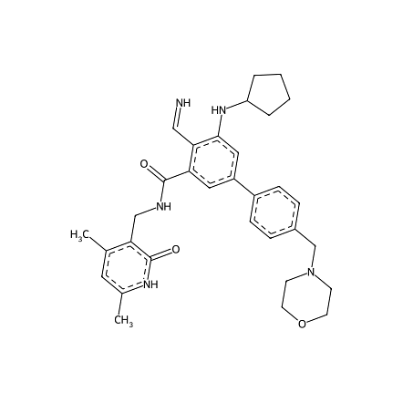 Cc1cc(C)c(CNC(=O)c2cc(-c3ccc(CN4CCOCC4)cc3)cc(NC3CCCC3)c2C=N)c(=O)[nH]1